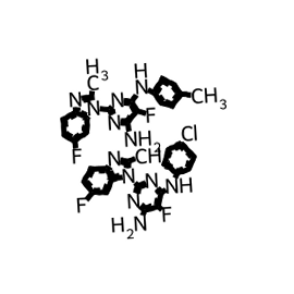 Cc1ccc(Nc2nc(-n3c(C)nc4ccc(F)cc43)nc(N)c2F)cc1.Cc1nc2ccc(F)cc2n1-c1nc(N)c(F)c(Nc2ccc(Cl)cc2)n1